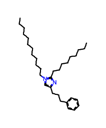 CCCCCCCCCCCCn1cc(CCCc2ccccc2)nc1CCCCCCCCC